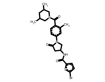 Cc1cc(N2CC(NC(=O)c3ccc(Br)s3)CC2=O)ccc1C(=O)N1CC(C)CC(C)C1